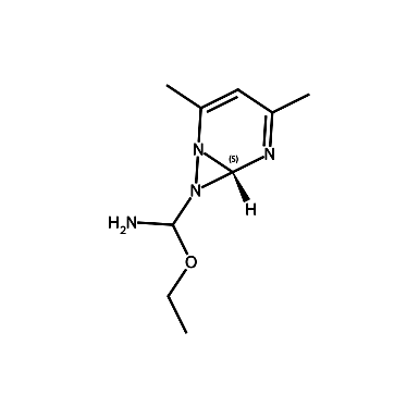 CCOC(N)N1[C@H]2N=C(C)C=C(C)N21